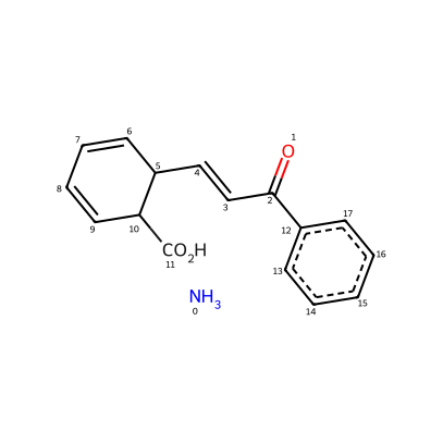 N.O=C(C=CC1C=CC=CC1C(=O)O)c1ccccc1